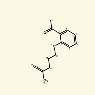 CC(=O)c1ccccc1OCCCC(=O)O